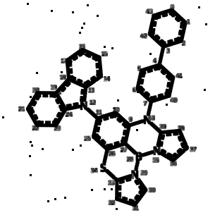 c1ccc(-c2ccc(N3c4cc(-n5c6ccccc6c6ccccc65)cc5c4B(n4cccc4S5)n4cccc43)cc2)cc1